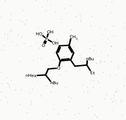 CCCCCCC(CCCC)COc1ccc(C)cc1CC(CC)CCCC.O=P(O)(O)O